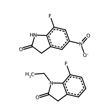 CCN1C(=O)Cc2cccc(F)c21.O=C1Cc2cc([N+](=O)[O-])cc(F)c2N1